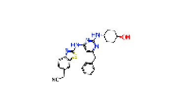 N#CCc1ccc2nc(Nc3cc(Cc4ccccc4)nc(N[C@H]4CC[C@H](O)CC4)n3)sc2c1